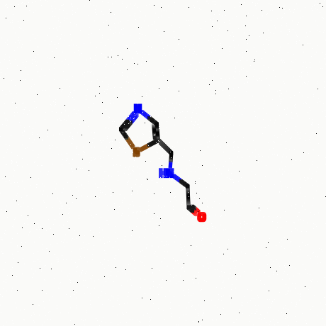 O=CCNCc1cncs1